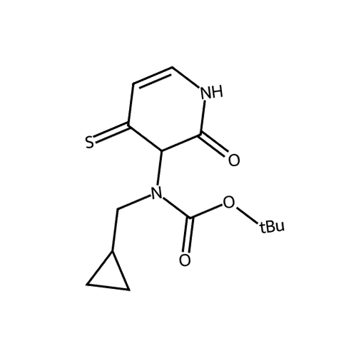 CC(C)(C)OC(=O)N(CC1CC1)C1C(=O)NC=CC1=S